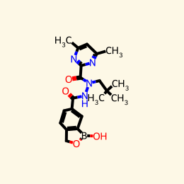 Cc1cc(C)nc(C(=O)N(CC(C)(C)C)NC(=O)c2ccc3c(c2)B(O)OC3)n1